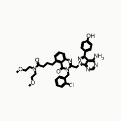 COCCN(CCOC)C(=O)CCCc1cccc2nc(Cn3nc(-c4ccc(O)cc4)c4c(N)ncnc43)n(Cc3ccccc3Cl)c(=O)c12